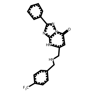 O=c1cc(CNCc2ccc(C(F)(F)F)cc2)[nH]c2nc(-c3ccccc3)nn12